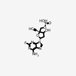 C#C[C@]1(CO[PH](=O)O)O[C@@H](n2cnc3c(N)nc(F)nc32)CC1O